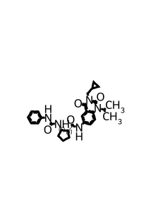 CC(C)n1c(=O)n(CC2CC2)c(=O)c2cc(NC(=O)[C@@H]3CCC[C@@H]3NC(=O)Nc3ccccc3)ccc21